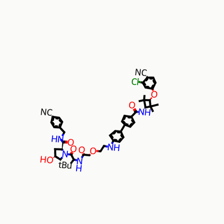 CC(C)(C)C(NC(=O)COCCNc1ccc(-c2ccc(C(=O)N[C@H]3C(C)(C)[C@H](Oc4ccc(C#N)c(Cl)c4)C3(C)C)cc2)cc1)C(=O)N1C[C@H](O)C[C@H]1C(=O)NCc1ccc(C#N)cc1